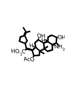 CC(=O)OC1CC2(C)[C@@H](C[C@@H](O)[C@@H]3C2(C)CC[C@@]2(N)C(C)[C@H](O)CCC32C)/C1=C(/C(=O)O)C1CCC(=C(C)C)C1